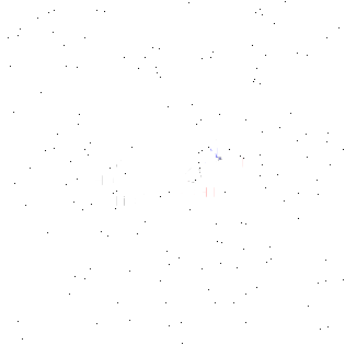 CC(C)CCCC(C)CCCCOc1ccc(CC[C@@](N)(CO)CC2CCC2)cc1O